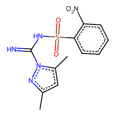 Cc1cc(C)n(C(=N)NS(=O)(=O)c2ccccc2[N+](=O)[O-])n1